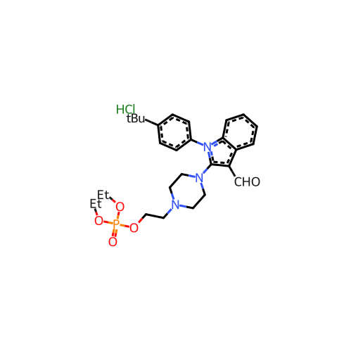 CCOP(=O)(OCC)OCCN1CCN(c2c(C=O)c3ccccc3n2-c2ccc(C(C)(C)C)cc2)CC1.Cl